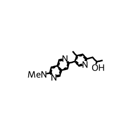 CNc1cc2cnc(-c3cnc(CC(C)O)cc3C)cc2cn1